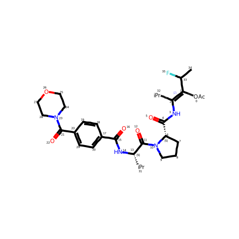 CC(=O)O/C(=C(\NC(=O)[C@@H]1CCCN1C(=O)[C@@H](NC(=O)c1ccc(C(=O)N2CCOCC2)cc1)C(C)C)C(C)C)C(C)F